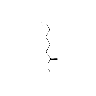 CCCCCCOC(=S)CCCCC(=O)O